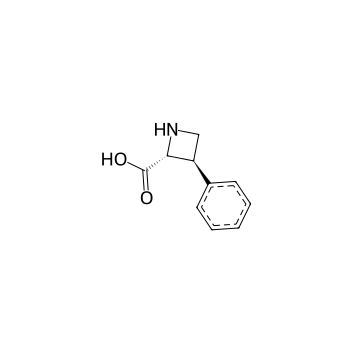 O=C(O)[C@@H]1NC[C@H]1c1ccccc1